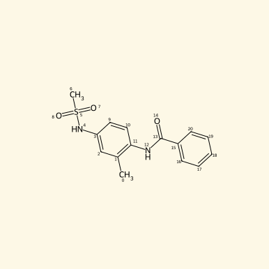 Cc1cc(NS(C)(=O)=O)ccc1NC(=O)c1ccccc1